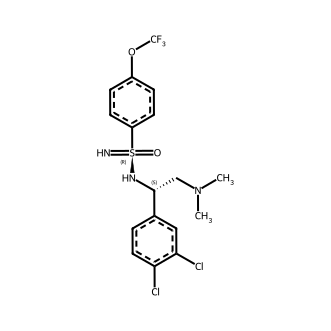 CN(C)C[C@@H](N[S@](=N)(=O)c1ccc(OC(F)(F)F)cc1)c1ccc(Cl)c(Cl)c1